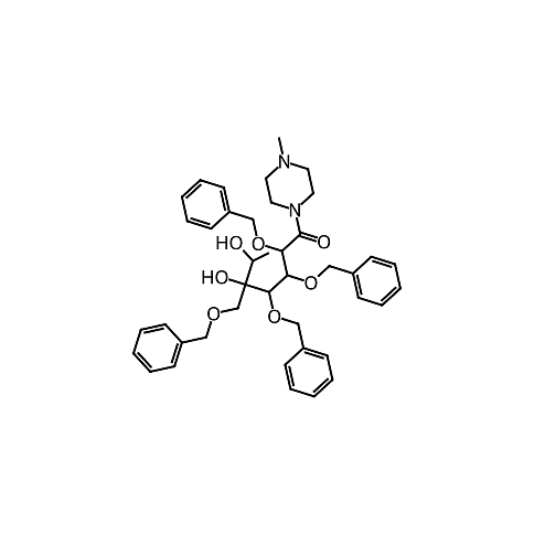 CC(O)C(O)(COCc1ccccc1)C(OCc1ccccc1)C(OCc1ccccc1)C(OCc1ccccc1)C(=O)N1CCN(C)CC1